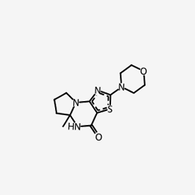 CC12CCCN1c1nc(N3CCOCC3)sc1C(=O)N2